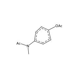 CC(=O)Oc1ccc(N(C)C(C)=O)cc1